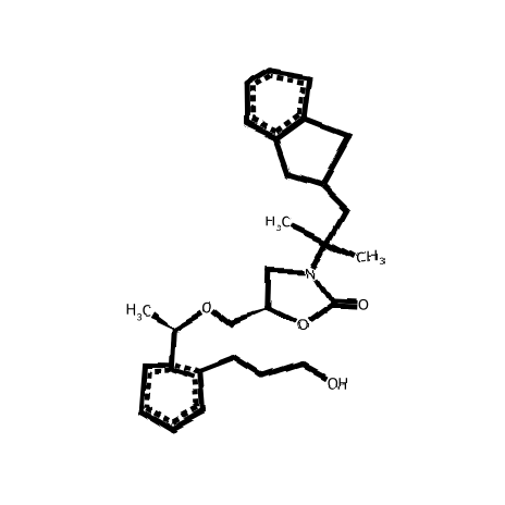 C[C@@H](OC[C@H]1CN(C(C)(C)CC2Cc3ccccc3C2)C(=O)O1)c1ccccc1CCCO